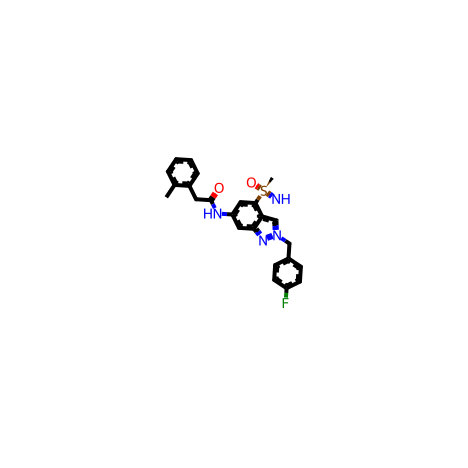 Cc1ccccc1CC(=O)Nc1cc([S@@](C)(=N)=O)c2cn(Cc3ccc(F)cc3)nc2c1